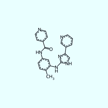 Cc1ccc(NC(=O)c2ccncc2)cc1Nc1nc(-c2cccnc2)c[nH]1